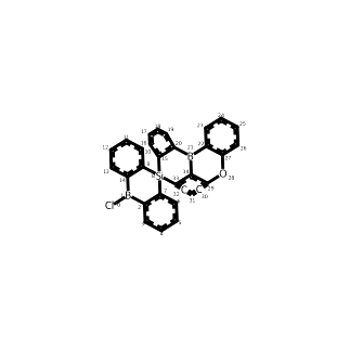 ClB1c2ccccc2[Si]2(c3ccccc31)c1ccccc1B1c3ccccc3Oc3cccc2c31